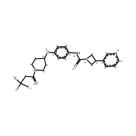 O=C(CC(F)(F)F)N1CCC(Oc2ccc(NC(=O)N3CC(c4cccnc4)C3)cc2)CC1